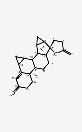 C=C1CC[C@]2(O1)C1CC1C1C3C4CC4C4=CC(=O)CC[C@]4(C)C3CC[C@@]12C